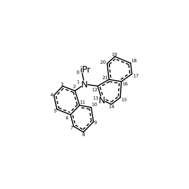 CC(C)N(c1cccc2ccccc12)c1nccc2ccccc12